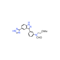 COCCN(C=O)c1cccc(-c2n[nH]c3ccc(-c4nc[nH]n4)cc23)c1